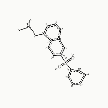 CN(C)Cc1cccc2cc(S(=O)(=O)c3ccccc3)ccc12